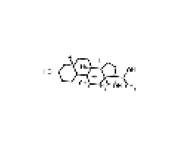 C[C@H](O)[C@]1(O)CC[C@@H]2[C@H]3CC[C@H]4C[C@@H](O)CC[C@]4(C)[C@@H]3CC[C@]21C